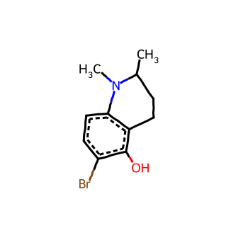 CC1CCc2c(ccc(Br)c2O)N1C